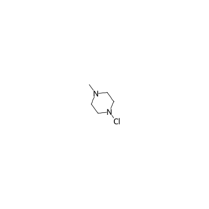 CN1CCN(Cl)CC1